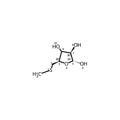 CSC[C@@H]1O[C@@H](O)[C@H](O)C1O